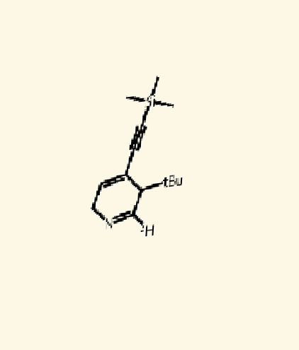 [2H]C1=NCC=C(C#C[Si](C)(C)C)C1C(C)(C)C